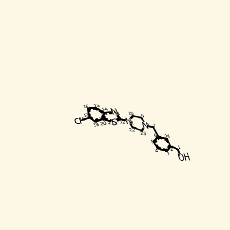 OCc1cccc(CN2CCN(c3nc4ccc(Cl)cc4s3)CC2)c1